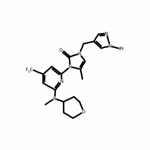 Cc1cn(Cc2cnn(C(C)C)c2)c(=O)n1-c1cc(C(F)(F)F)cc(N(C)C2CCOCC2)n1